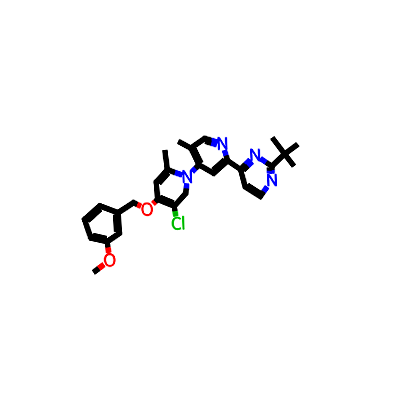 COc1cccc(COC2=C(Cl)CN(c3cc(-c4ccnc(C(C)(C)C)n4)ncc3C)C(C)=C2)c1